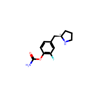 NC(=O)Oc1ccc([CH][C@H]2CCCN2)cc1F